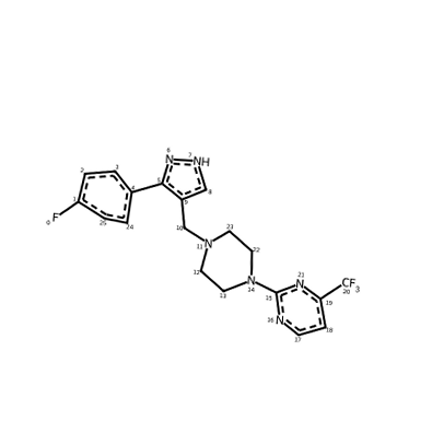 Fc1ccc(-c2n[nH]cc2CN2CCN(c3nccc(C(F)(F)F)n3)CC2)cc1